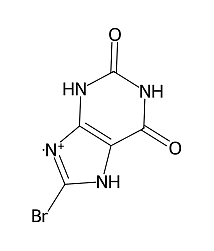 O=c1[nH]c2c(c(=O)[nH]1)NC(Br)=[N+]2